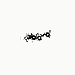 Cc1cc(-n2ccnc(SCCc3cccc(F)c3)c2=O)ccc1OCC(C)(C)C